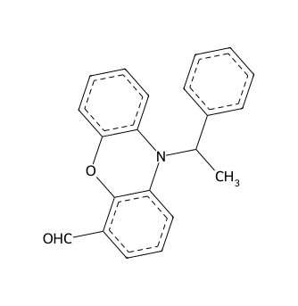 CC(c1ccccc1)N1c2ccccc2Oc2c(C=O)cccc21